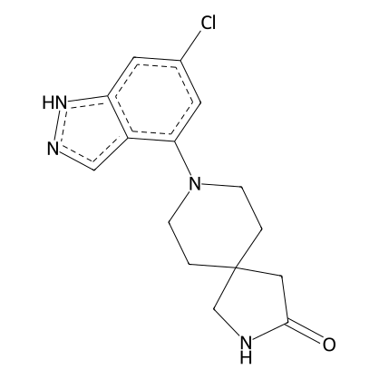 O=C1CC2(CCN(c3cc(Cl)cc4[nH]ncc34)CC2)CN1